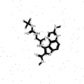 COC(=O)c1sc2ccc3nc(OC)cnc3c2c1NC(C)CNC(=O)OC(C)(C)C